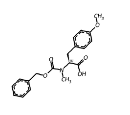 COc1ccc(C[C@@H](C(=O)O)N(C)C(=O)OCc2ccccc2)cc1